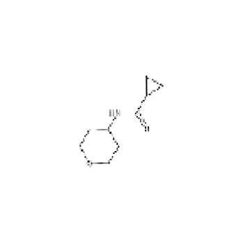 O=C(NC1CCOCC1)C1CC1